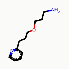 NCCCOCCCc1ccccn1